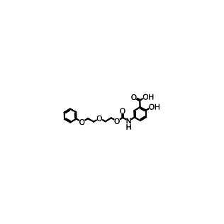 O=C(Nc1ccc(O)c(C(=O)O)c1)OCCOCCOc1ccccc1